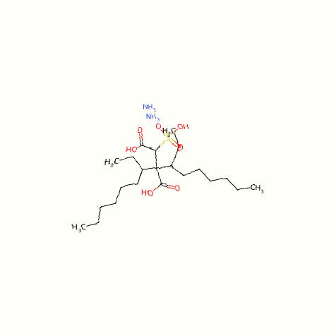 CCCCCCC(CC)C(C(=O)O)(C(CC)CCCCCC)C(C(=O)O)S(=O)(=O)O.N.N